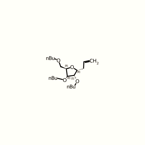 C=CC[C@H]1O[C@H](COCCCC)[C@@H](OCCCC)[C@H]1OCCCC